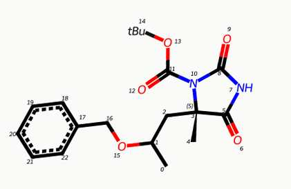 CC(C[C@@]1(C)C(=O)NC(=O)N1C(=O)OC(C)(C)C)OCc1ccccc1